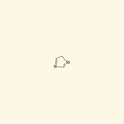 C1=N[CH]=[Sb][CH2]1